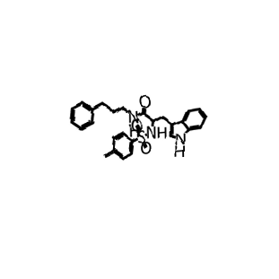 Cc1ccc(S(=O)(=O)NC(Cc2c[nH]c3ccccc23)C(=O)NCCCc2ccccc2)cc1